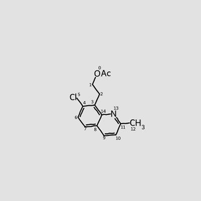 CC(=O)OCCc1c(Cl)ccc2ccc(C)nc12